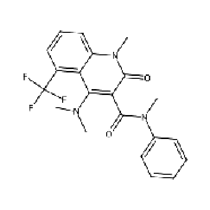 CN(C)c1c(C(=O)N(C)c2ccccc2)c(=O)n(C)c2cccc(C(F)(F)F)c12